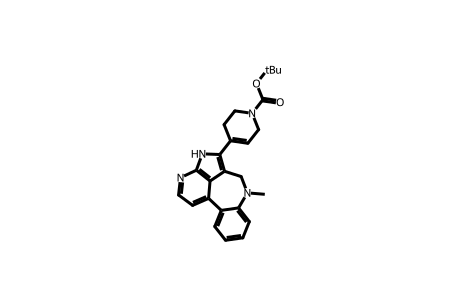 CN1Cc2c(C3=CCN(C(=O)OC(C)(C)C)CC3)[nH]c3nccc(c23)-c2ccccc21